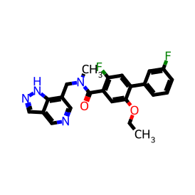 CCOc1cc(C(=O)N(C)Cc2cncc3cn[nH]c23)c(F)cc1-c1cccc(F)c1